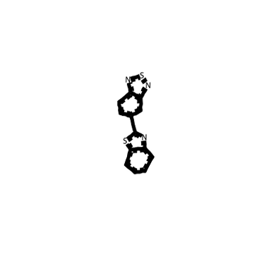 c1ccc2sc(-c3ccc4nsnc4c3)nc2c1